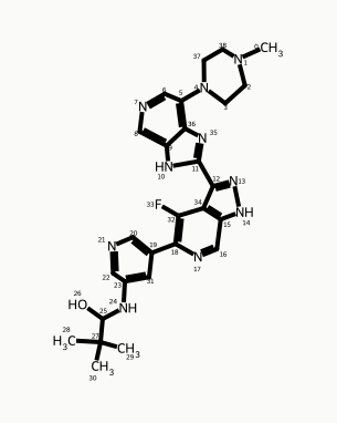 CN1CCN(c2cncc3[nH]c(-c4n[nH]c5cnc(-c6cncc(NC(O)C(C)(C)C)c6)c(F)c45)nc23)CC1